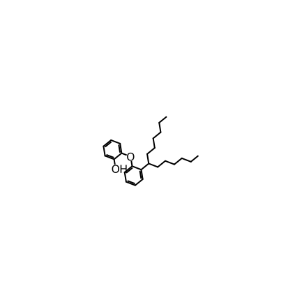 CCCCCCC(CCCCCC)c1ccccc1Oc1ccccc1O